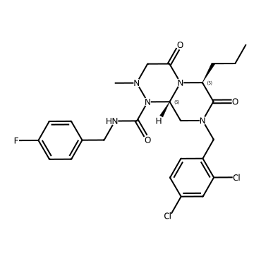 CCC[C@H]1C(=O)N(Cc2ccc(Cl)cc2Cl)C[C@H]2N1C(=O)CN(C)N2C(=O)NCc1ccc(F)cc1